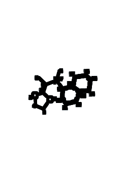 CC(C1OCCO1)N(C)c1cccc2ccccc12